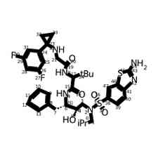 CC(C)CN(C[C@@H](O)[C@H](Cc1ccccc1)NC(=O)C(NC(=O)CNC1(c2cc(F)cc(F)c2)CC1)C(C)(C)C)S(=O)(=O)c1ccc2nc(N)sc2c1